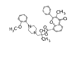 COc1ccccc1N1CCN(CC(C)(C)OC(=O)c2cccc3c(=O)c(C)c(-c4ccccc4)oc23)CC1